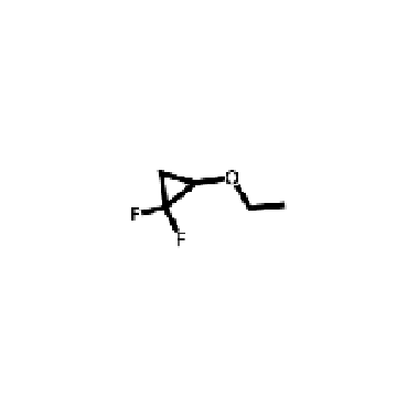 CCOC1CC1(F)F